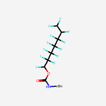 CCCCNC(=O)OC(F)C(F)(F)C(F)(F)C(F)(F)C(F)(F)C(F)C(F)F